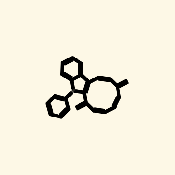 C=c1ccccc(=C)c2c(cc1)c1ccccc1n2-c1ccccc1